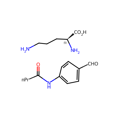 CCCC(=O)Nc1ccc(C=O)cc1.NCCC[C@H](N)C(=O)O